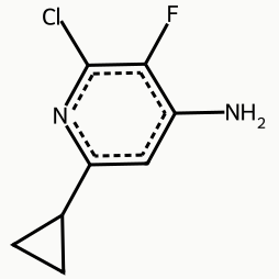 Nc1cc(C2CC2)nc(Cl)c1F